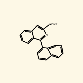 CCCCCc1cc2ccccc2c(-c2cccc3ccccc23)n1